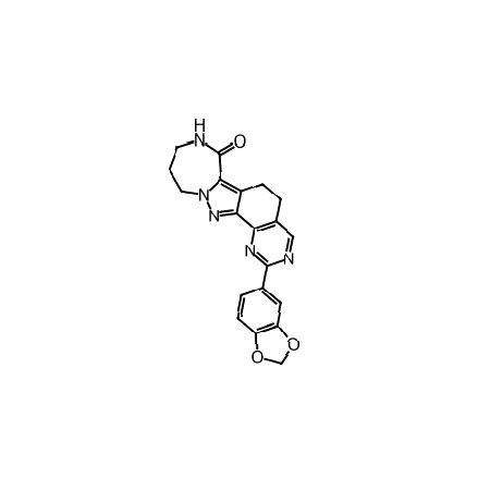 O=C1NCCCn2nc3c(c21)CCc1cnc(-c2ccc4c(c2)OCO4)nc1-3